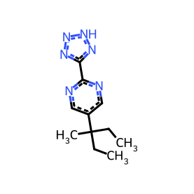 CCC(C)(CC)c1cnc(-c2nn[nH]n2)nc1